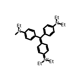 CCN(C)c1ccc(C(=C2C=CC(=[N+](CC)CC)C=C2)c2ccc(N(CC)CC)cc2)cc1